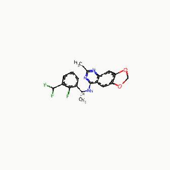 Cc1nc(N[C@H](C)c2cccc(C(F)F)c2F)c2cc3c(cc2n1)OCO3